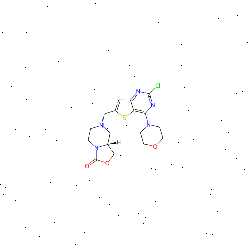 O=C1OC[C@H]2CN(Cc3cc4nc(Cl)nc(N5CCOCC5)c4s3)CCN12